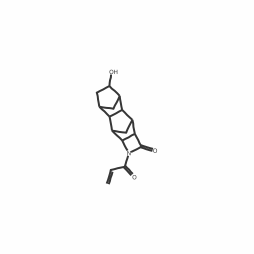 C=CC(=O)N1C(=O)C2C3CC(C4C5CC(O)C(C5)C34)C21